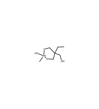 CCC1(CO)CO[PH](C)(O)OC1